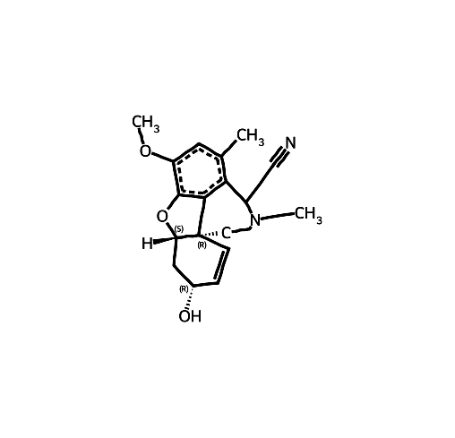 COc1cc(C)c2c3c1O[C@H]1C[C@@H](O)C=C[C@]31CCN(C)C2C#N